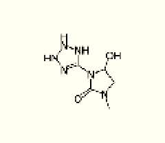 CN1CC(O)N(C2=NNNN2)C1=O